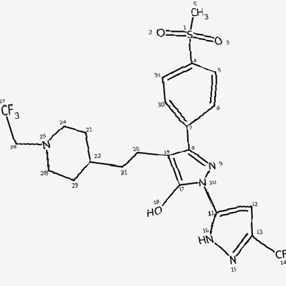 CS(=O)(=O)c1ccc(-c2nn(-c3cc(C(F)(F)F)n[nH]3)c(O)c2CCC2CCN(CC(F)(F)F)CC2)cc1